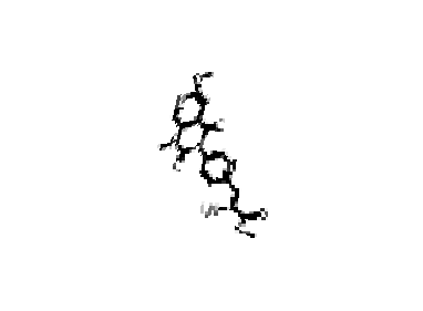 COC(=O)[C@@H](N)Cc1ccc(-n2c(=O)c3cc(OC)ncc3n(C)c2=O)cn1